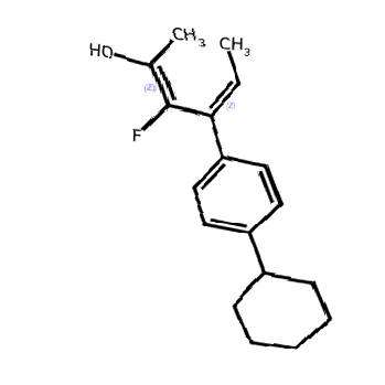 C/C=C(\C(F)=C(/C)O)c1ccc(C2CCCCC2)cc1